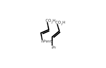 CC(C)/C=C/C(=O)O.CCCCC/C=C/C(=O)O